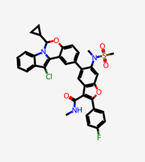 CNC(=O)c1c(-c2ccc(F)cc2)oc2cc(N(C)S(C)(=O)=O)c(-c3ccc4c(c3)-c3c(Cl)c5ccccc5n3C(C3CC3)O4)cc12